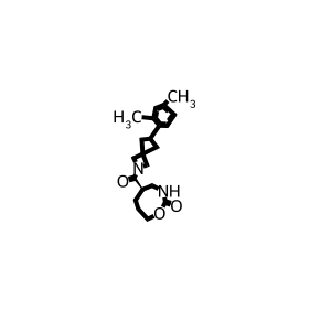 Cc1ccc(C2CC3(C2)CN(C(=O)[C@@H]2CCCOC(=O)NC2)C3)c(C)c1